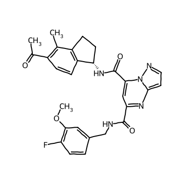 COc1cc(CNC(=O)c2cc(C(=O)N[C@H]3CCc4c3ccc(C(C)=O)c4C)n3nccc3n2)ccc1F